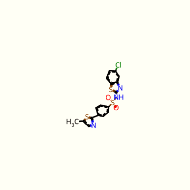 Cc1cnc(-c2ccc(S(=O)(=O)Nc3nc4cc(Cl)ccc4s3)cc2)s1